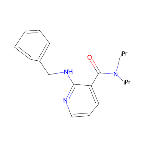 CC(C)N(C(=O)c1cccnc1NCc1ccccc1)C(C)C